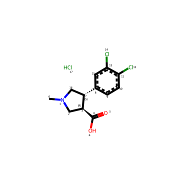 CN1C[C@H](C(=O)O)[C@@H](c2ccc(Cl)c(Cl)c2)C1.Cl